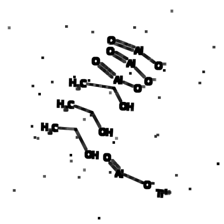 CCO.CCO.CCO.[O]=[Al][O-].[O]=[Al][O-].[O]=[Al][O-].[O]=[Al][O-].[Ti+4]